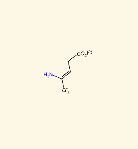 CCOC(=O)C/C=C(\N)C(F)(F)F